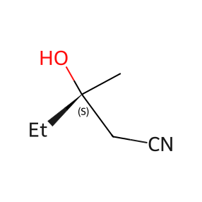 CC[C@](C)(O)CC#N